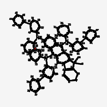 CC1(C)C2=C(C=CCC2)c2cc3c(N(c4ccccn4)c4cc(-c5ccccc5)ccn4)c4cc(N(c5cccc(-c6ccccc6)c5)c5ccccn5)ccc4c(N(c4cccc(-c5ccccc5)c4)c4ccccn4)c3cc21